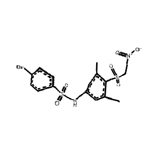 Cc1cc(NS(=O)(=O)c2ccc(Br)cc2)cc(C)c1S(=O)(=O)C[N+](=O)[O-]